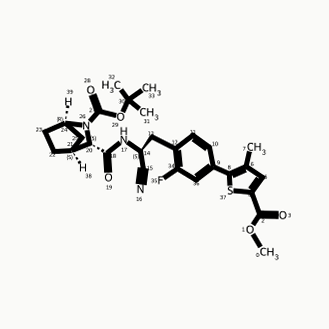 COC(=O)c1cc(C)c(-c2ccc(C[C@@H](C#N)NC(=O)[C@@H]3[C@H]4CC[C@H](C4)N3C(=O)OC(C)(C)C)c(F)c2)s1